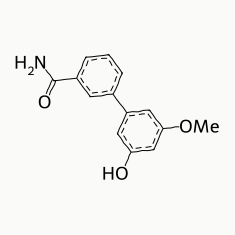 COc1cc(O)cc(-c2cccc(C(N)=O)c2)c1